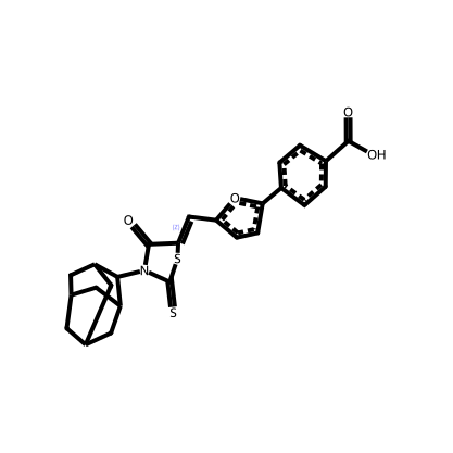 O=C(O)c1ccc(-c2ccc(/C=C3\SC(=S)N(C4C5CC6CC(C5)CC4C6)C3=O)o2)cc1